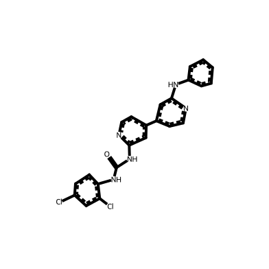 O=C(Nc1cc(-c2ccnc(Nc3ccccc3)c2)ccn1)Nc1ccc(Cl)cc1Cl